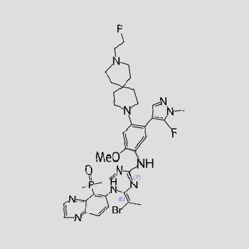 C=N/C(=N\C(Nc1ccc2nccnc2c1P(C)(C)=O)=C(/C)Br)Nc1cc(-c2cnn(C)c2F)c(N2CCC3(CCN(CCF)CC3)CC2)cc1OC